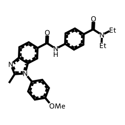 CCN(CC)C(=O)c1ccc(NC(=O)c2ccc3nc(C)n(-c4ccc(OC)cc4)c3c2)cc1